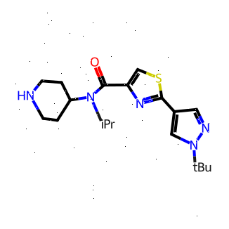 CC(C)N(C(=O)c1csc(-c2cnn(C(C)(C)C)c2)n1)C1CCNCC1